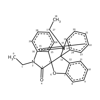 CCN1C(=O)C2(Oc3ccccc3C23C(=O)N(CC)c2ccccc23)c2ccccc21